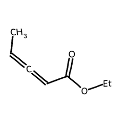 CC=C=CC(=O)OCC